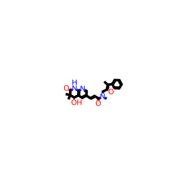 Cc1c(CN(C)C(=O)/C=C/c2cnc3c(c2)[C@@H](O)C(C)(C)C(=O)N3)oc2ccccc12